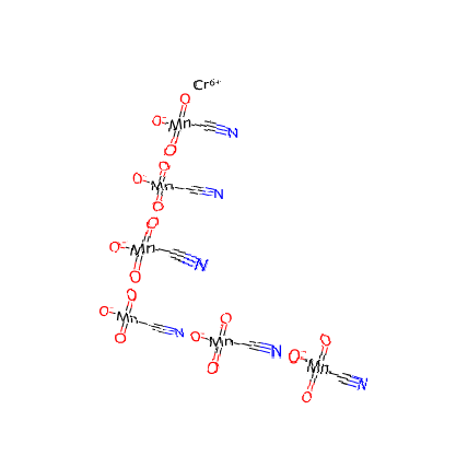 N#[C][Mn](=[O])(=[O])[O-].N#[C][Mn](=[O])(=[O])[O-].N#[C][Mn](=[O])(=[O])[O-].N#[C][Mn](=[O])(=[O])[O-].N#[C][Mn](=[O])(=[O])[O-].N#[C][Mn](=[O])(=[O])[O-].[Cr+6]